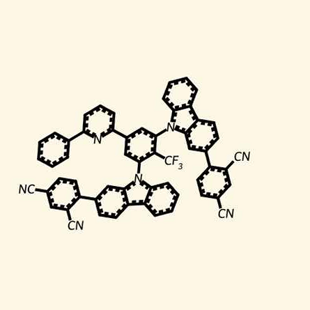 N#Cc1ccc(-c2ccc3c4ccccc4n(-c4cc(-c5cccc(-c6ccccc6)n5)cc(-n5c6ccccc6c6ccc(-c7ccc(C#N)cc7C#N)cc65)c4C(F)(F)F)c3c2)c(C#N)c1